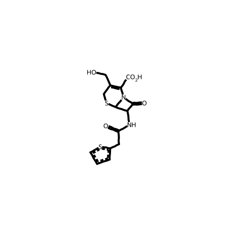 O=C(Cc1cccs1)NC1C(=O)N2C(C(=O)O)=C(CO)CSC12